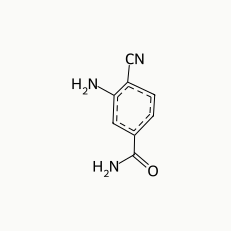 N#Cc1ccc(C(N)=O)cc1N